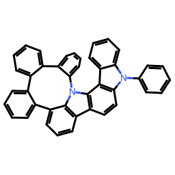 c1ccc(-n2c3ccccc3c3c2ccc2c4cccc5c6ccccc6c6ccccc6c6ccccc6n(c54)c23)cc1